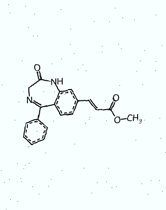 COC(=O)C=Cc1ccc2c(c1)NC(=O)CN=C2c1ccccc1